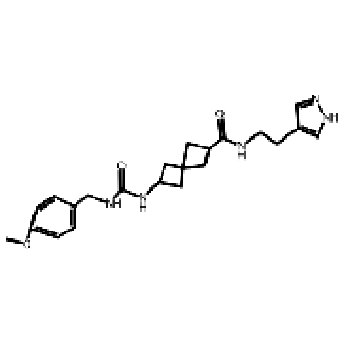 COc1ccc(CNC(=O)NC2CC3(C2)CC(C(=O)NCCc2cn[nH]c2)C3)cc1